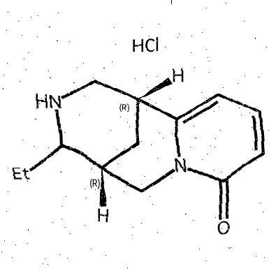 CCC1NC[C@H]2C[C@@H]1Cn1c2cccc1=O.Cl